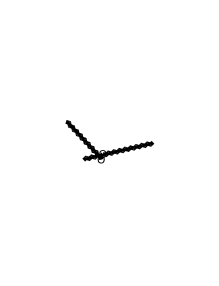 CCCCCCCCCCCCCCCCCCOC(=O)C(CCCCC)CCCCCCCCCCCCCCCC